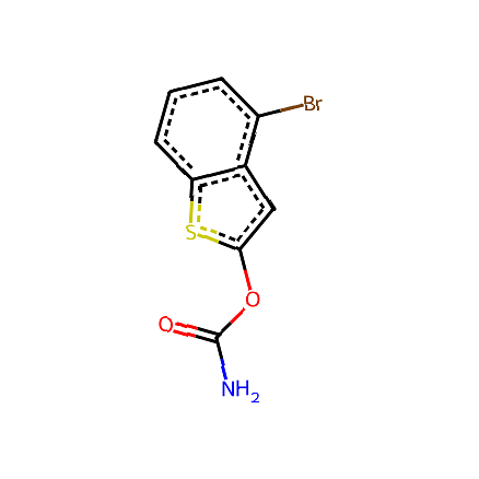 NC(=O)Oc1cc2c(Br)cccc2s1